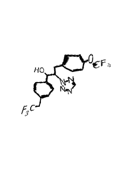 OC(c1ccc(CC(F)(F)F)cc1)C(Cc1ccc(OC(F)(F)F)cc1)n1ncnn1